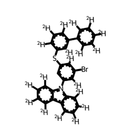 [2H]c1c([2H])c([2H])c(-c2c([2H])c([2H])c([2H])c(Sc3cc(-n4c5c([2H])c([2H])c([2H])c([2H])c5c5c([2H])c([2H])c([2H])c([2H])c54)c([2H])c(Br)c3[2H])c2[2H])c([2H])c1[2H]